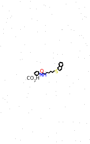 O=C(CCCCCCSc1ccc2ccccc2c1)Nc1ccccc1C(=O)O